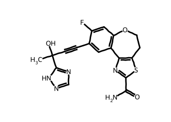 CC(O)(C#Cc1cc2c(cc1F)OCCc1sc(C(N)=O)nc1-2)c1ncn[nH]1